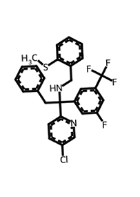 CSc1ccccc1CNC(Cc1ccccc1)(c1cc(F)cc(C(F)(F)F)c1)c1ccc(Cl)cn1